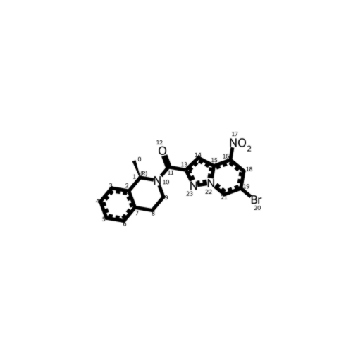 C[C@@H]1c2ccccc2CCN1C(=O)c1cc2c([N+](=O)[O-])cc(Br)cn2n1